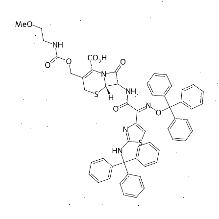 COCCNC(=O)OCC1=C(C(=O)O)N2C(=O)C(NC(=O)C(=NOC(c3ccccc3)(c3ccccc3)c3ccccc3)c3csc(NC(c4ccccc4)(c4ccccc4)c4ccccc4)n3)[C@@H]2SC1